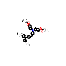 C=CC(=O)Oc1ccc2cc(N(c3ccc(Cc4ccc(C(c5ccc(C)cc5)c5ccc(C)cc5)cc4)cc3)c3ccc4cc(OC(=O)C=C)ccc4c3)ccc2c1